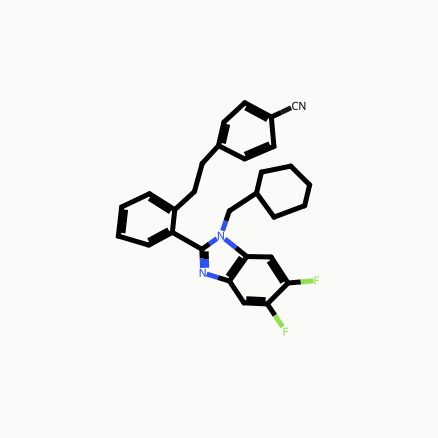 N#Cc1ccc(CCc2ccccc2-c2nc3cc(F)c(F)cc3n2CC2CCCCC2)cc1